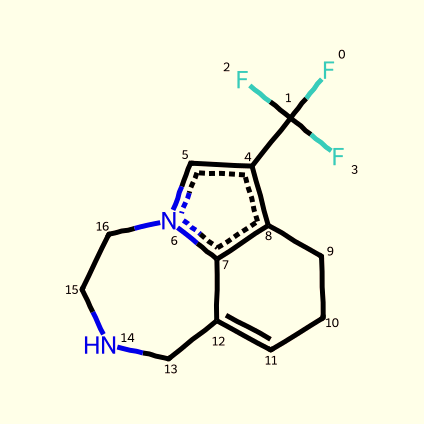 FC(F)(F)c1cn2c3c1CCC=C3CNCC2